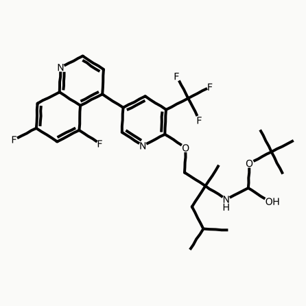 CC(C)CC(C)(COc1ncc(-c2ccnc3cc(F)cc(F)c23)cc1C(F)(F)F)NC(O)OC(C)(C)C